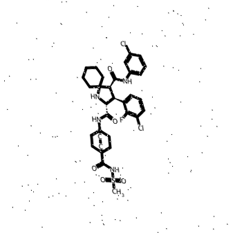 CS(=O)(=O)NC(=O)C12CCC(NC(=O)[C@@H]3NC4(CCCCC4)[C@@H](C(=O)Nc4cccc(Cl)c4)[C@H]3c3cccc(Cl)c3F)(CC1)CC2